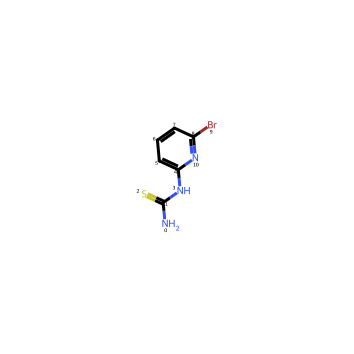 NC(=S)Nc1cccc(Br)n1